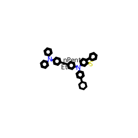 CCCCCC(CC)(c1ccc(N(c2ccccc2)c2ccccc2)cc1)c1ccc(N(c2ccc(C3CCCCC3)cc2)c2ccc3c(c2)sc2ccccc23)cc1